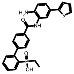 CCP(=O)(O)c1ccccc1-c1ccc(C(=O)Nc2cc(-c3cccs3)ccc2N)cc1